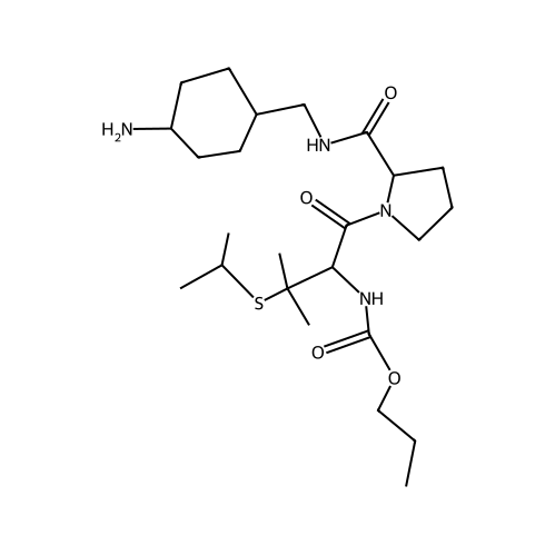 CCCOC(=O)NC(C(=O)N1CCCC1C(=O)NCC1CCC(N)CC1)C(C)(C)SC(C)C